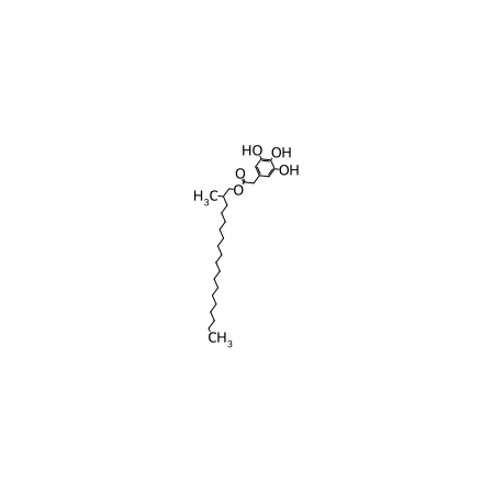 CCCCCCCCCCCCCCCCCC(C)COC(=O)Cc1cc(O)c(O)c(O)c1